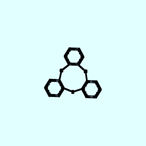 c1ccc2c(c1)Oc1ccccc1Sc1ccccc1O2